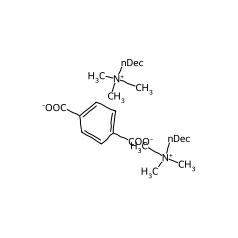 CCCCCCCCCC[N+](C)(C)C.CCCCCCCCCC[N+](C)(C)C.O=C([O-])c1ccc(C(=O)[O-])cc1